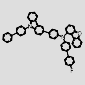 Fc1ccc(-c2ccc(N(c3ccc(-c4ccc5c(c4)c4ccccc4n5-c4ccc(-c5ccccc5)cc4)cc3)c3cccc4oc5ccccc5c34)cc2)cc1